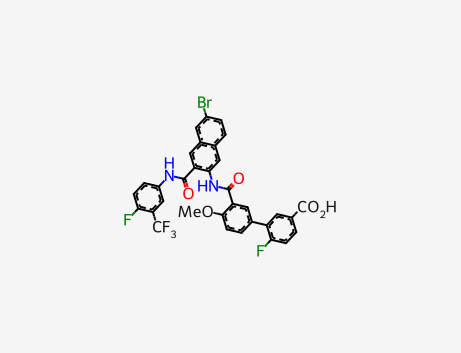 COc1ccc(-c2cc(C(=O)O)ccc2F)cc1C(=O)Nc1cc2ccc(Br)cc2cc1C(=O)Nc1ccc(F)c(C(F)(F)F)c1